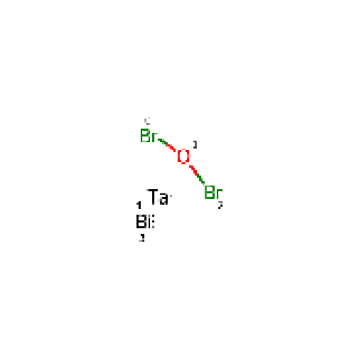 BrOBr.[Bi].[Ta]